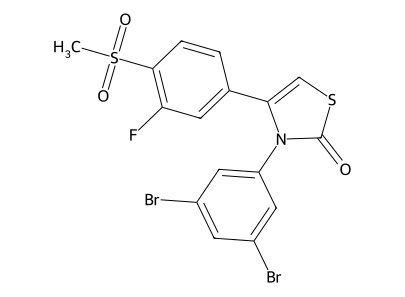 CS(=O)(=O)c1ccc(-c2csc(=O)n2-c2cc(Br)cc(Br)c2)cc1F